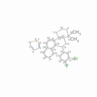 C1=CCSC=C1.CC1(C)CCCC2=C1CC(c1ccc(F)c(Br)c1)c1c2ccc2ccccc12